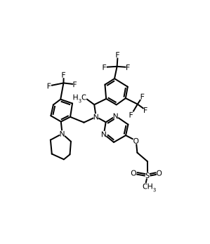 CC(c1cc(C(F)(F)F)cc(C(F)(F)F)c1)N(Cc1cc(C(F)(F)F)ccc1N1CCCCC1)c1ncc(OCCS(C)(=O)=O)cn1